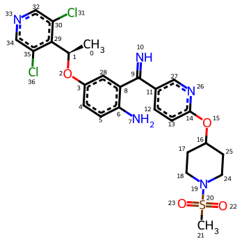 C[C@@H](Oc1ccc(N)c(C(=N)c2ccc(OC3CCN(S(C)(=O)=O)CC3)nc2)c1)c1c(Cl)cncc1Cl